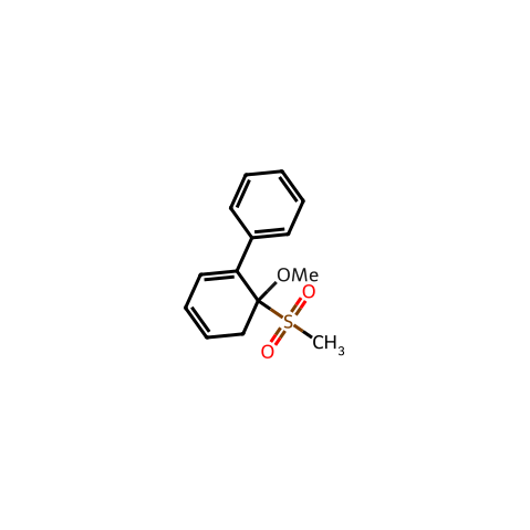 COC1(S(C)(=O)=O)CC=CC=C1c1ccccc1